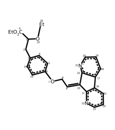 CCOC(=O)C(Cc1ccc(OCC=C2c3ncccc3-c3cccnc32)cc1)OCC